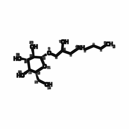 CCCCNCC(O)CO[C@@H]1O[C@H](CO)[C@@H](O)[C@H](O)[C@H]1O